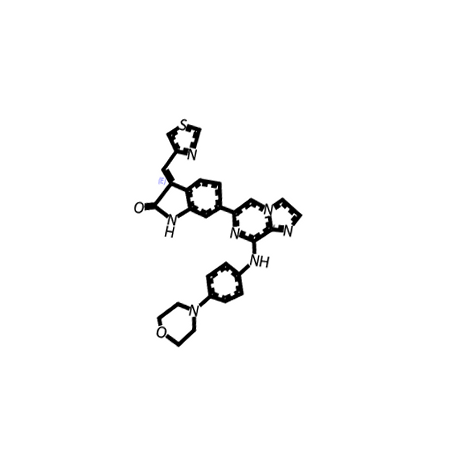 O=C1Nc2cc(-c3cn4ccnc4c(Nc4ccc(N5CCOCC5)cc4)n3)ccc2/C1=C\c1cscn1